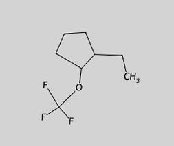 CCC1CCCC1OC(F)(F)F